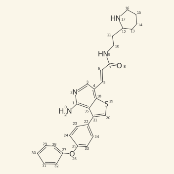 Nc1ncc(C=CC(=O)NCCC2CCCCN2)c2scc(-c3ccc(Oc4ccccc4)cc3)c12